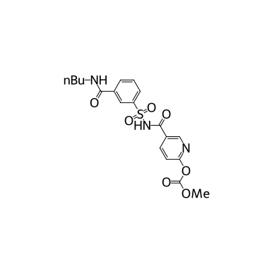 CCCCNC(=O)c1cccc(S(=O)(=O)NC(=O)c2ccc(OC(=O)OC)nc2)c1